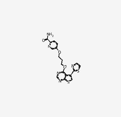 NC(=O)c1ccc(OCCCOc2ncnc3scc(-c4nccs4)c23)cn1